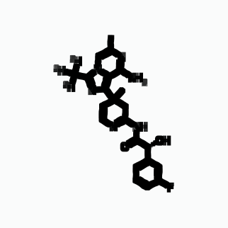 [2H]C([2H])([2H])c1nc(C2(C)C=CN=C(NC(=O)[C@H](O)c3cccc(F)c3)C2)c2c(N)nc(C)cn12